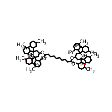 CC1CCC(C(C)C)C(C2(C3CC(C)CCC3C(C)C)CC(OC(=O)CCCCCCCCC(=O)OC3CC(C4CC(C)CCC4C(C)C)(C4CC(C)CCC4C(C)C)NC(C4CC(C)CCC4C(C)C)(C4CC(C)CCC4C(C)C)C3)CC(C3CC(C)CCC3C(C)C)(C3CC(C)CCC3C(C)C)N2)C1